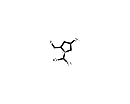 CC1CC(CF)N(C(C)C)C1